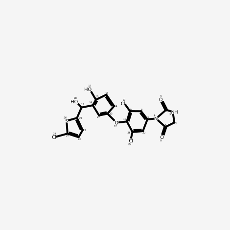 O=C1CNC(=O)N1c1cc(Cl)c(Oc2ccc(O)c(C(O)c3ccc(Cl)s3)c2)c(Cl)c1